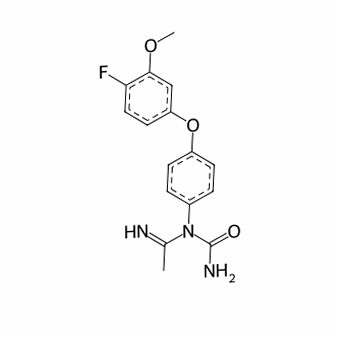 COc1cc(Oc2ccc(N(C(C)=N)C(N)=O)cc2)ccc1F